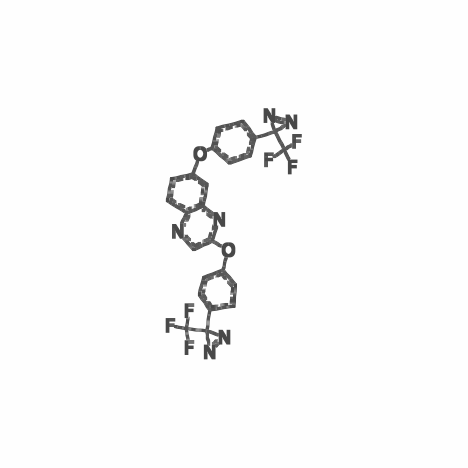 FC(F)(F)C1(c2ccc(Oc3ccc4ncc(Oc5ccc(C6(C(F)(F)F)N=N6)cc5)nc4c3)cc2)N=N1